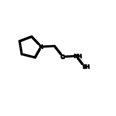 SNOCN1CCCC1